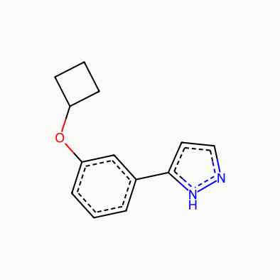 c1cc(OC2CCC2)cc(-c2ccn[nH]2)c1